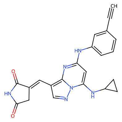 C#Cc1cccc(Nc2cc(NC3CC3)n3ncc(/C=C4\CC(=O)NC4=O)c3n2)c1